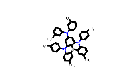 Cc1ccc(N2c3ccc(C)cc3B3c4cc(C)ccc4N(c4ccc(C)cc4)c4cc(N(c5cccc(C)c5)c5cccc(C)c5)cc2c43)cc1